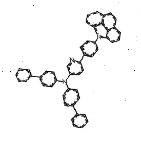 c1ccc(-c2ccc(N(c3ccc(-c4ccccc4)cc3)c3ccc(-c4ccc(-n5c6cccc7ccc8cccc5c8c76)cc4)nc3)cc2)cc1